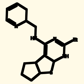 CCC1=NC(NCC2CC=CC=N2)=C2C(N1)SC1CCCC21